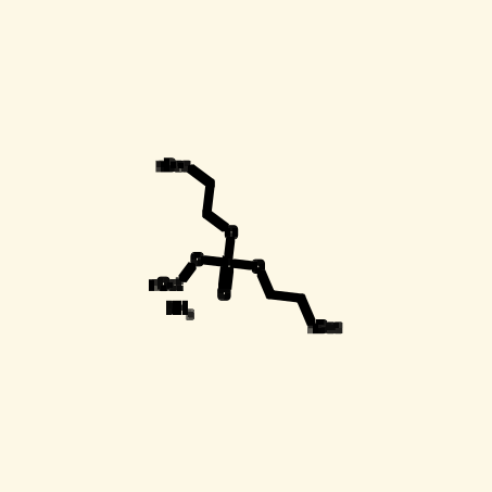 CCCCCCCCCCCCOP(=O)(OCCCCCCCC)OCCCCCCCCCCCC.N